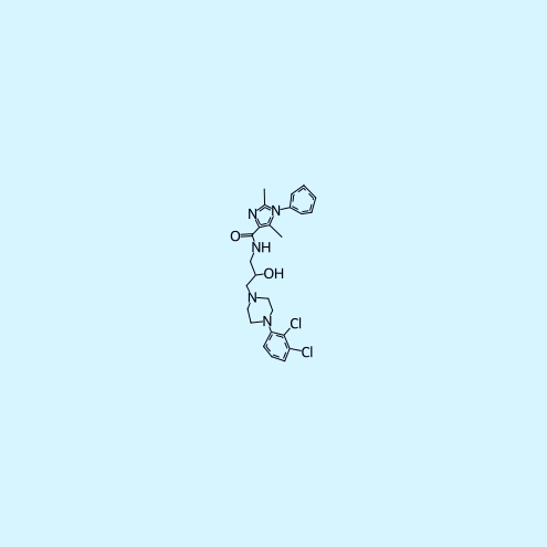 Cc1nc(C(=O)NCC(O)CN2CCN(c3cccc(Cl)c3Cl)CC2)c(C)n1-c1ccccc1